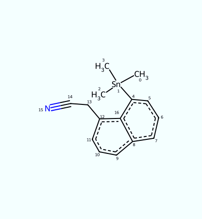 [CH3][Sn]([CH3])([CH3])[c]1cccc2cccc(CC#N)c12